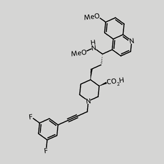 CON[C@@H](CC[C@@H]1CCN(CC#Cc2cc(F)cc(F)c2)C[C@@H]1C(=O)O)c1ccnc2ccc(OC)cc12